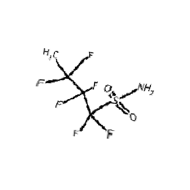 CC(F)(F)C(F)(F)C(F)(F)S(N)(=O)=O